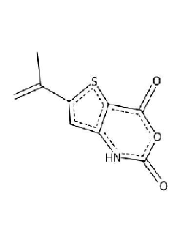 C=C(C)c1cc2[nH]c(=O)oc(=O)c2s1